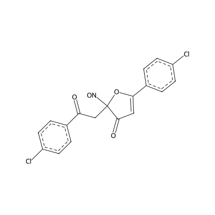 O=NC1(CC(=O)c2ccc(Cl)cc2)OC(c2ccc(Cl)cc2)=CC1=O